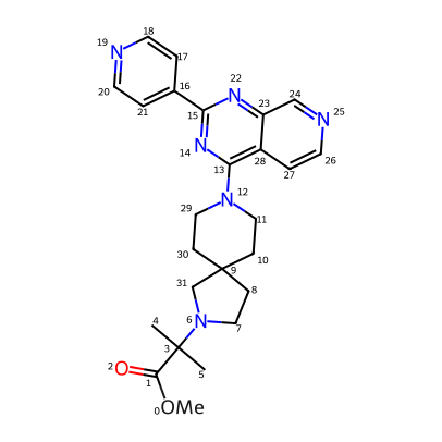 COC(=O)C(C)(C)N1CCC2(CCN(c3nc(-c4ccncc4)nc4cnccc34)CC2)C1